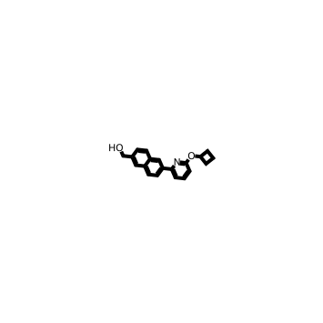 OCc1ccc2cc(-c3cccc(OC4CCC4)n3)ccc2c1